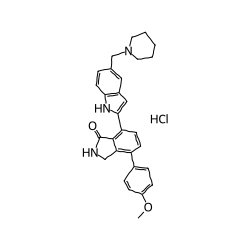 COc1ccc(-c2ccc(-c3cc4cc(CN5CCCCC5)ccc4[nH]3)c3c2CNC3=O)cc1.Cl